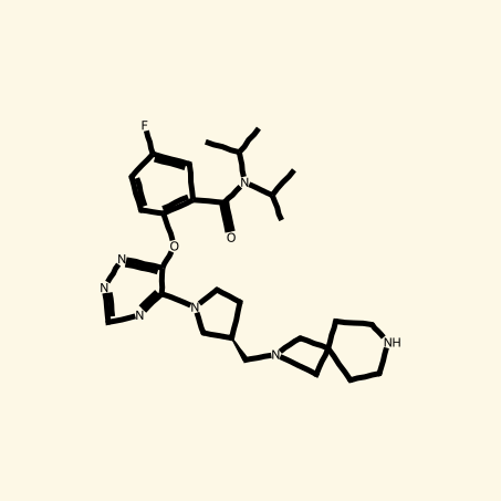 CC(C)N(C(=O)c1cc(F)ccc1Oc1nncnc1N1CC[C@@H](CN2CC3(CCNCC3)C2)C1)C(C)C